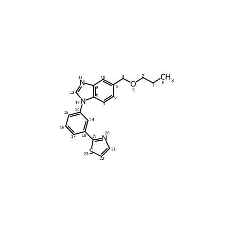 CCCOCc1ccc2c(c1)ncn2-c1cccc(-c2nccs2)c1